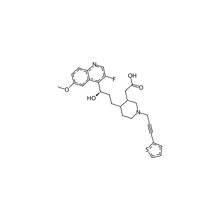 COc1ccc2ncc(F)c([C@H](O)CCC3CCN(CC#Cc4cccs4)CC3CC(=O)O)c2c1